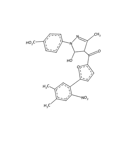 CC1=NN(c2ccc(C(=O)O)cc2)C(O)C1C(=O)c1ccc(-c2cc(C)c(C)cc2[N+](=O)[O-])o1